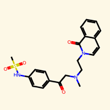 CN(CCn1ccc2ccccc2c1=O)CC(=O)c1ccc(NS(C)(=O)=O)cc1